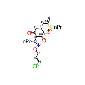 CCCC(=NOCC=CCl)[C@H]1C(=O)C[C@H](CC(C)[S+]([O-])CCC)CC1=O